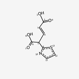 O=C(O)C=CC(C(=O)O)c1nccs1